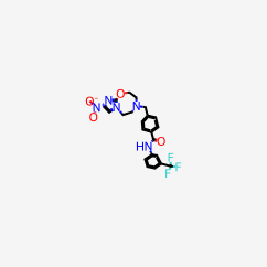 O=C(Nc1cccc(C(F)(F)F)c1)c1ccc(CN2CCOc3nc([N+](=O)[O-])cn3CC2)cc1